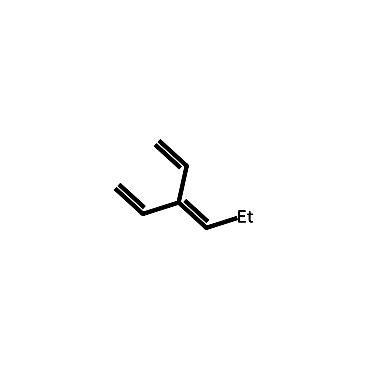 C=CC(C=C)=CCC